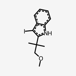 COCC(C)(C)c1[nH]c2ccccc2c1I